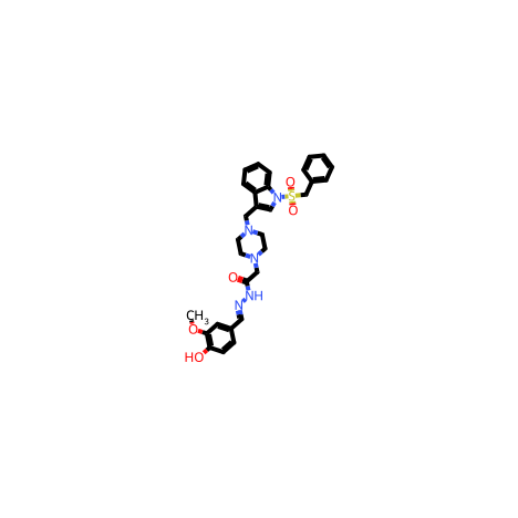 COc1cc(C=NNC(=O)CN2CCN(Cc3cn(S(=O)(=O)Cc4ccccc4)c4ccccc34)CC2)ccc1O